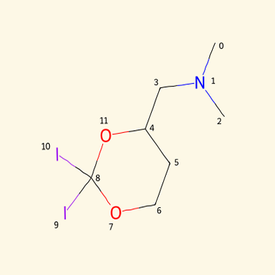 CN(C)CC1CCOC(I)(I)O1